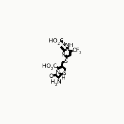 N[C@@H]1C(=O)N2C(C(=O)O)=C(CSC3=NC4=CN(C(=O)O)NN4C(C(F)(F)F)=C3)CS[C@H]12